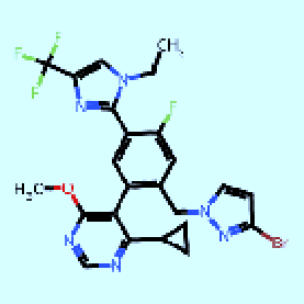 CCn1cc(C(F)(F)F)nc1-c1cc(-c2c(OC)ncnc2C2CC2)c(Cn2ccc(Br)n2)cc1F